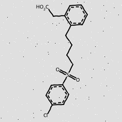 O=C(O)Cc1ccccc1CCCCS(=O)(=O)c1ccc(Cl)cc1